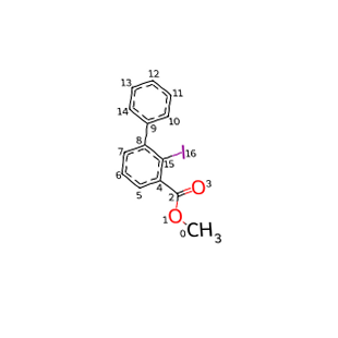 COC(=O)c1cccc(-c2ccccc2)c1I